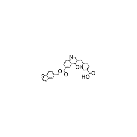 O=C(O)c1ccc(Cc2cnc3ccc(C(=O)OCc4ccc5sccc5c4)cc3c2O)cc1